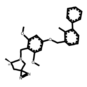 COc1cc(OCc2cccc(-c3ccccc3)c2C)cc(OC)c1CN1CC2(C[C@H]1C)N=N2